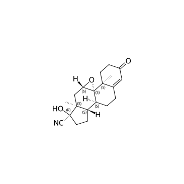 C[C@]12CCC(=O)C=C1CC[C@H]1[C@@H]3CC[C@](O)(C#N)[C@@]3(C)C[C@@H]3O[C@@]312